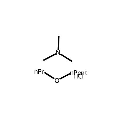 CCCCCOCCC.CN(C)C.Cl